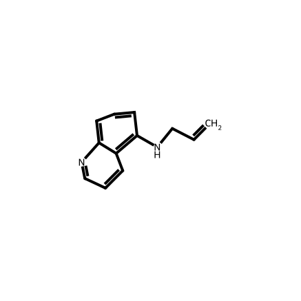 C=CCNc1cccc2ncccc12